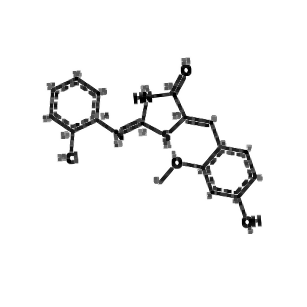 COc1cc(O)ccc1C=C1SC(=Nc2ccccc2Cl)NC1=O